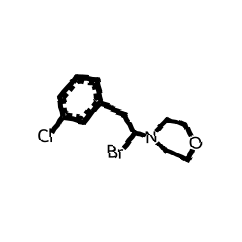 Clc1cccc(CC(Br)N2CCOCC2)c1